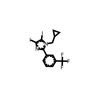 FC(F)(F)c1cccc(-c2nc(I)c(I)n2CC2CC2)c1